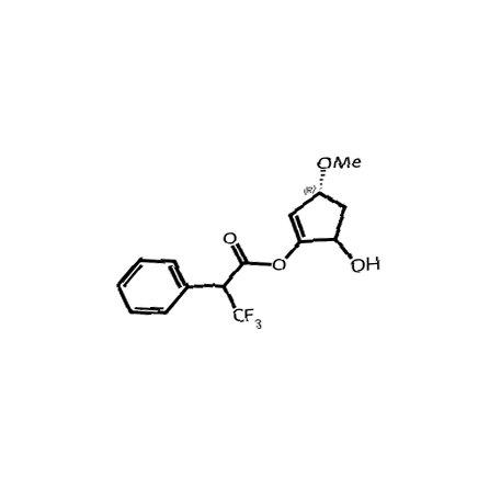 CO[C@H]1C=C(OC(=O)C(c2ccccc2)C(F)(F)F)C(O)C1